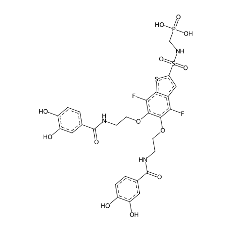 O=C(NCCOc1c(OCCNC(=O)c2ccc(O)c(O)c2)c(F)c2sc(S(=O)(=O)NCP(=O)(O)O)cc2c1F)c1ccc(O)c(O)c1